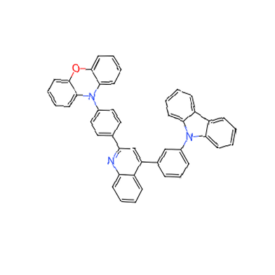 c1cc(-c2cc(-c3ccc(N4c5ccccc5Oc5ccccc54)cc3)nc3ccccc23)cc(-n2c3ccccc3c3ccccc32)c1